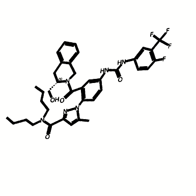 CCCCN(CCCC)C(=O)c1cc(C)n(-c2ccc(NC(=O)Nc3ccc(F)c(C(F)(F)F)c3)cc2C(=O)N2Cc3ccccc3C[C@H]2CO)n1